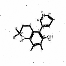 Cc1c(C)c2c(c(-c3cccnc3)c1O)CCC(C)(C)O2